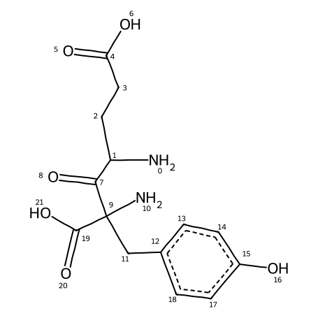 NC(CCC(=O)O)C(=O)C(N)(Cc1ccc(O)cc1)C(=O)O